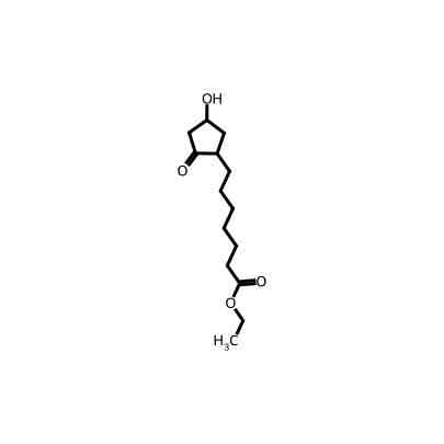 CCOC(=O)CCCCCCC1CC(O)CC1=O